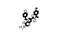 COc1ccc(C(C)NC(=O)C2=CN(Cc3ccc(Cl)cc3)C3C(=O)[C@@H](N)CSC3=C2)cc1